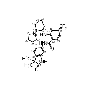 CC1(C)C(=O)Nc2cc(NC(=O)c3ccc(C(F)(F)F)cc3N[C@H]3CCCC[C@@H]3N3CCCC3)ccc21